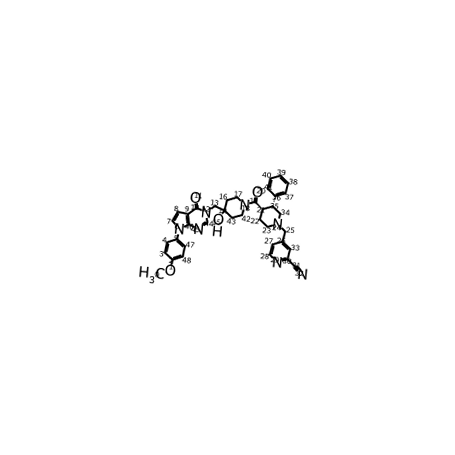 COc1ccc(-n2ccc3c(=O)n(CC4(O)CCN(C(=O)[C@@H]5CCN(Cc6ccnc(C#N)c6)C[C@H]5c5ccccc5)CC4)cnc32)cc1